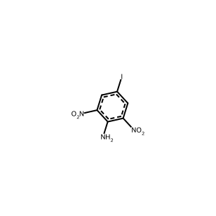 Nc1c([N+](=O)[O-])cc(I)cc1[N+](=O)[O-]